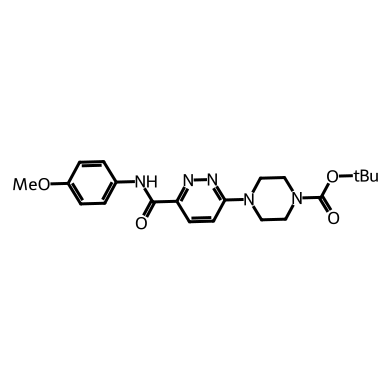 COc1ccc(NC(=O)c2ccc(N3CCN(C(=O)OC(C)(C)C)CC3)nn2)cc1